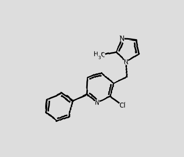 Cc1nccn1Cc1ccc(-c2ccccc2)nc1Cl